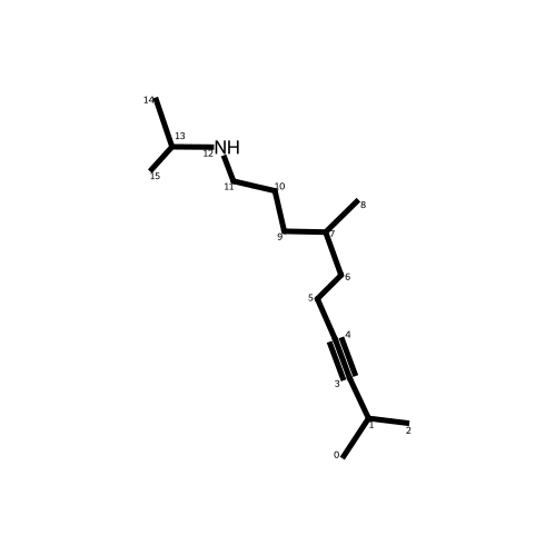 CC(C)C#CCCC(C)CCCNC(C)C